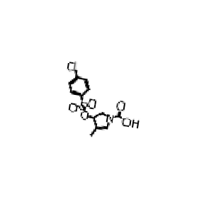 CC1CN(C(=O)O)CC1OS(=O)(=O)c1ccc(Cl)cc1